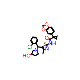 Cc1nc(NC(=O)C2(c3ccc4c(c3)OCO4)CC2)sc1C(c1ccccc1Cl)N1CCC(O)C1